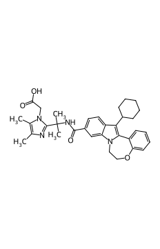 Cc1nc(C(C)(C)NC(=O)c2ccc3c(C4CCCCC4)c4n(c3c2)CCOc2ccccc2-4)n(CC(=O)O)c1C